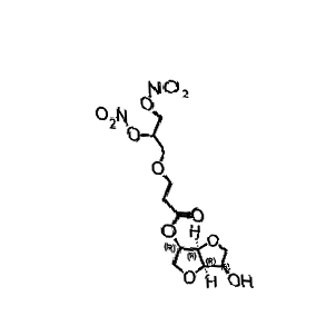 O=C(CCOCC(CO[N+](=O)[O-])O[N+](=O)[O-])O[C@@H]1CO[C@H]2[C@@H]1OC[C@H]2O